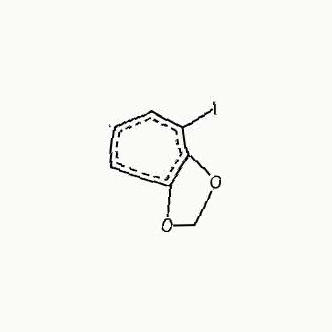 Ic1c[c]cc2c1OCO2